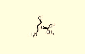 CC(=O)O.NCCC=O